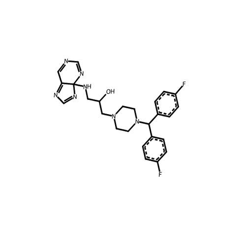 OC(CNC12N=CN=CC1=NC=N2)CN1CCN(C(c2ccc(F)cc2)c2ccc(F)cc2)CC1